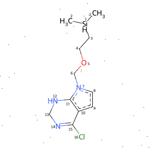 C[SiH](C)CCOCn1ccc2c1NCN=C2Cl